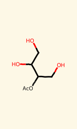 CC(=O)OC(CO)C(O)CO